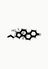 CCC[C@@H]1C[C@H]2[C@@H]3CCC4=CC(=O)CCC4=C3C=C[C@]2(C)[C@H]1O